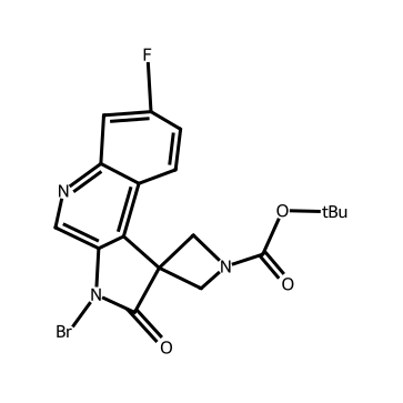 CC(C)(C)OC(=O)N1CC2(C1)C(=O)N(Br)c1cnc3cc(F)ccc3c12